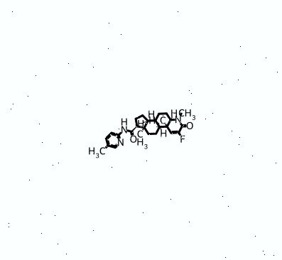 Cc1ccc(NC(=O)[C@H]2CC[C@H]3[C@@H]4CC[C@H]5N(C)C(=O)C(F)=C[C@]5(C)[C@H]4CC[C@]23C)nc1